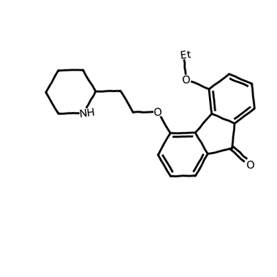 CCOc1cccc2c1-c1c(OCCC3CCCCN3)cccc1C2=O